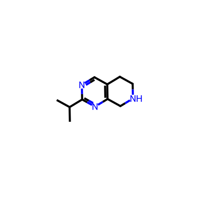 CC(C)c1ncc2c(n1)CNCC2